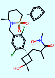 CC1C(=O)N(C)O[C@H]1[C@]1(c2cc(F)c(CN3[C@@H](C)CC[C@H](c4ccccc4)S3(=O)=O)cc2F)C[C@@](C)(O)C1